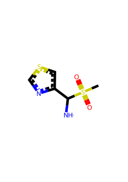 CS(=O)(=O)C([NH])c1cscn1